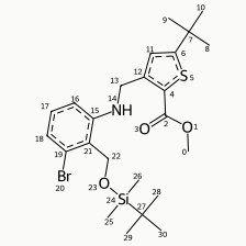 COC(=O)c1sc(C(C)(C)C)cc1CNc1cccc(Br)c1CO[Si](C)(C)C(C)(C)C